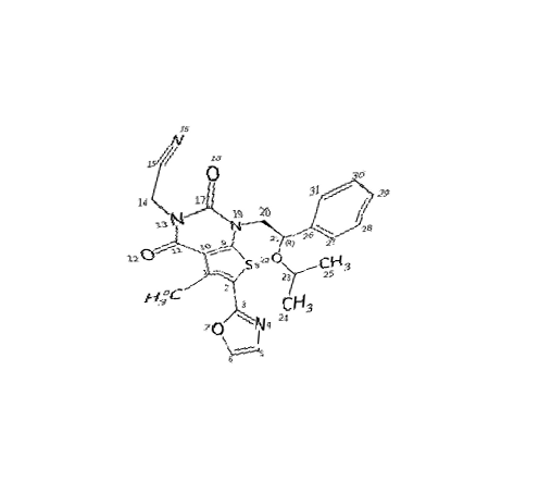 Cc1c(-c2ncco2)sc2c1c(=O)n(CC#N)c(=O)n2C[C@H](OC(C)C)c1ccccc1